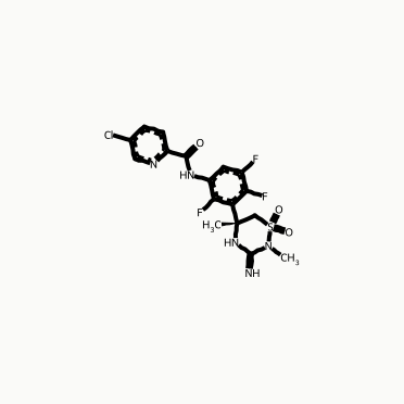 CN1C(=N)N[C@](C)(c2c(F)c(F)cc(NC(=O)c3ccc(Cl)cn3)c2F)CS1(=O)=O